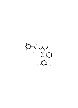 COc1cc(C#N)cc(N(C(=O)C2OC(CO)C(O)C(n3cc(-c4cc(F)cc(Br)c4)nn3)C2OC)[C@H]2CCCC[C@@H]2O)c1